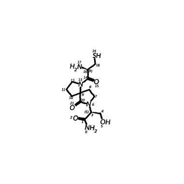 NC(=O)[C@H](CO)N1CCC2(CCCN2C(=O)[C@@H](N)CS)C1=O